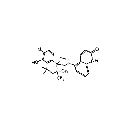 CC1(C)CC(O)(C(F)(F)F)C(O)(CNc2cccc3[nH]c(=O)ccc23)c2ccc(Cl)c(O)c21